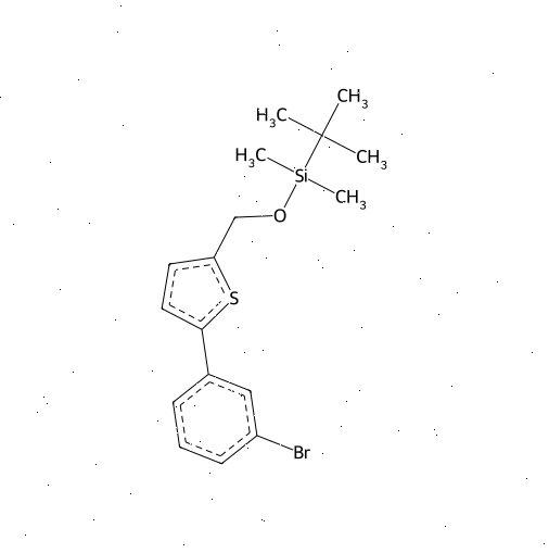 CC(C)(C)[Si](C)(C)OCc1ccc(-c2cccc(Br)c2)s1